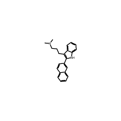 CN(C)CCCc1c(-c2ccc3ccccc3c2)[nH]c2ccccc12